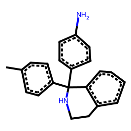 Cc1ccc(C2(c3ccc(N)cc3)NCCc3ccccc32)cc1